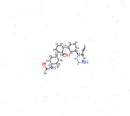 C#C[C@H]1CNCCN1c1cccc(-c2cccc(-c3ccc(NC(C)=O)c(F)c3)c2O)c1